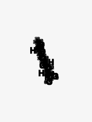 COc1cc(OC)nc(Nc2cccc(C(=O)Nc3ccc(CC(=O)Nc4cc(C(C)(C)C)on4)cc3)c2)n1